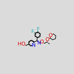 C[C@@H](CO/N=C(\c1ccc(F)c(F)c1)c1ccc(CO)cn1)OC1CCCCO1